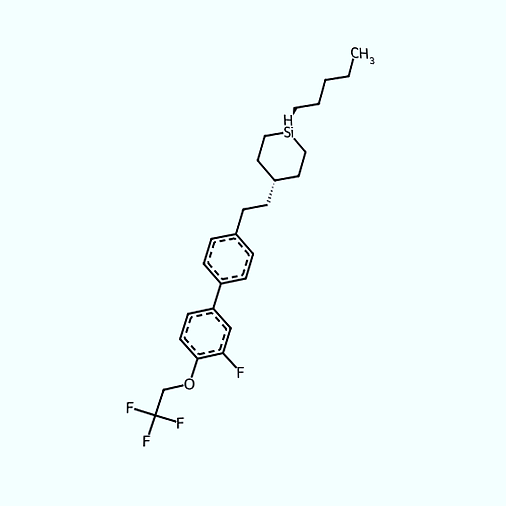 CCCCC[Si@H]1CC[C@H](CCc2ccc(-c3ccc(OCC(F)(F)F)c(F)c3)cc2)CC1